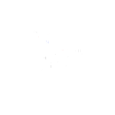 C=C\C(O)=C/C=C\C(=C(/CCCF)c1ccccc1)C(\C)=C\C=C(/C)C1CN(C(=O)OC(C)(C)C)C1